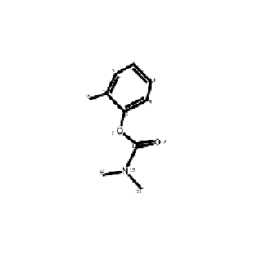 Cc1ccccc1OC(=O)N(C)C